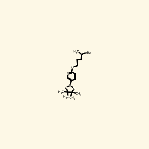 CCCCC(C)CCCOc1ccc(B2OC(C)(C)C(C)(C)O2)cn1